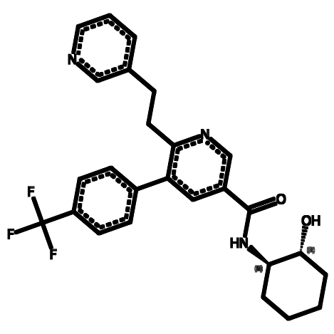 O=C(N[C@@H]1CCCC[C@H]1O)c1cnc(CCc2cccnc2)c(-c2ccc(C(F)(F)F)cc2)c1